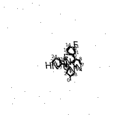 C[C@H]1CCN(c2nccc(-c3cc(F)ccc3F)c2NC(=O)C2CCCNC2)C1